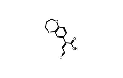 O=CC=C(C(=O)O)c1ccc2c(c1)OCCCO2